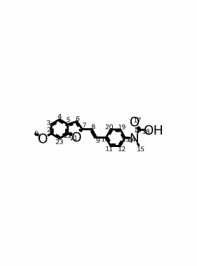 COc1ccc2cc(C=Cc3ccc(N(C)C(=O)O)cc3)oc2c1